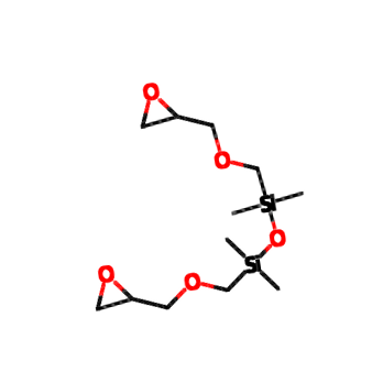 C[Si](C)(COCC1CO1)O[Si](C)(C)COCC1CO1